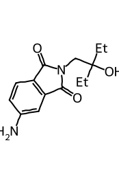 CCC(O)(CC)CN1C(=O)c2ccc(N)cc2C1=O